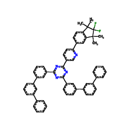 CC1(C)c2ccc(-c3ccc(-c4nc(-c5cccc(-c6cccc(-c7ccccc7)c6)c5)nc(-c5cccc(-c6cccc(-c7ccccc7)c6)c5)n4)cn3)cc2C(C)(C)C1(F)F